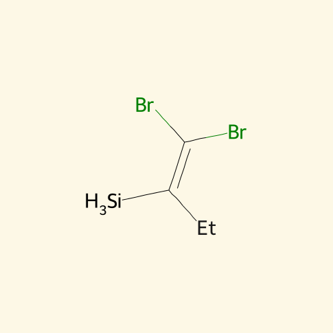 CCC([SiH3])=C(Br)Br